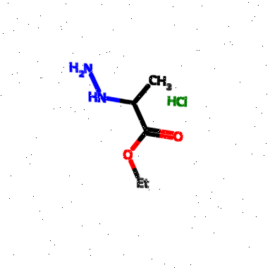 CCOC(=O)C(C)NN.Cl